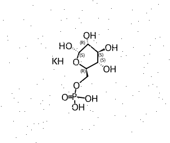 O=P(O)(O)OC[C@H]1O[C@H](O)[C@H](O)[C@@H](O)[C@@H]1O.[KH]